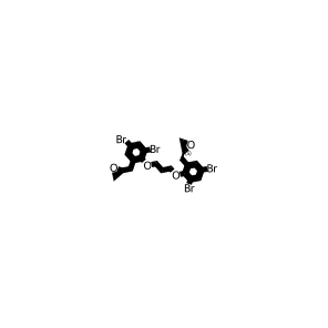 Brc1cc(Br)c(OCCCOc2c(Br)cc(Br)cc2C[C@H]2CO2)c(CC2CO2)c1